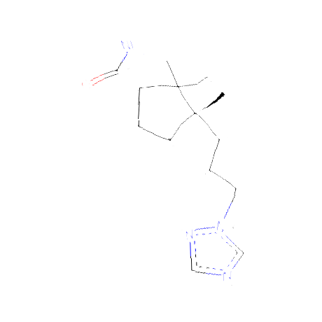 CC1(C)[C@@H](C(N)=O)CC[C@@]1(C)CCCn1cncn1